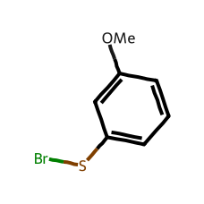 COc1cccc(SBr)c1